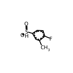 Cc1cc([SH](=O)=O)ccc1F